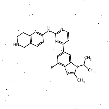 Cc1nc2c(F)cc(-c3ccnc(Nc4ccc5c(n4)CCNC5)n3)cc2n1C(C)C